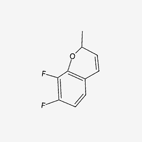 CC1C=Cc2ccc(F)c(F)c2O1